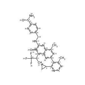 Cc1ncnc(C2CC2)c1-c1nc(C)c2nc(NCc3ccc([S+](N)[O-])nc3)c(=O)n(C(C)C(F)(F)F)c2n1